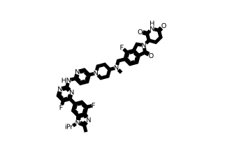 Cc1nc2c(F)cc(-c3nc(Nc4ccc(N5CCC(N(C)Cc6ccc7c(c6F)CN(C6CCC(=O)NC6=O)C7=O)CC5)cn4)ncc3F)cc2n1C(C)C